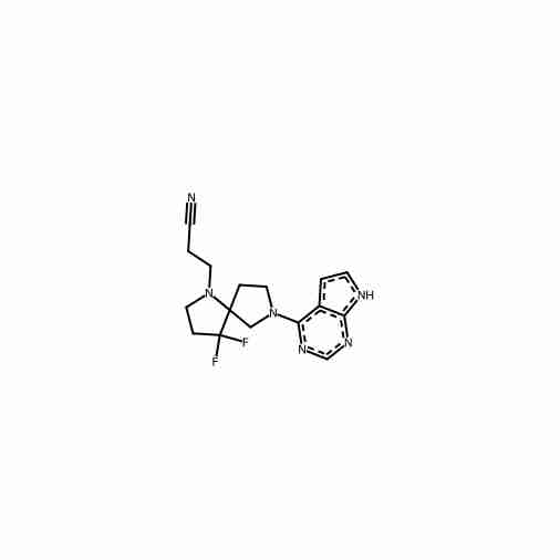 N#CCCN1CCC(F)(F)C12CCN(c1ncnc3[nH]ccc13)C2